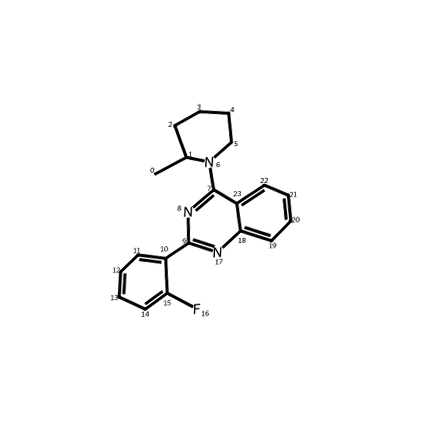 CC1CCCCN1c1nc(-c2ccccc2F)nc2ccccc12